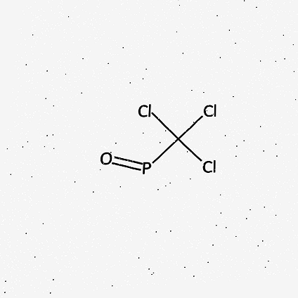 O=PC(Cl)(Cl)Cl